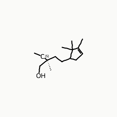 CC[C@](C)(CO)CCC1CC=C(C)C1(C)C